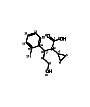 O=C(O)N(C1CC1)[C@@H](CCO)c1ccccc1I